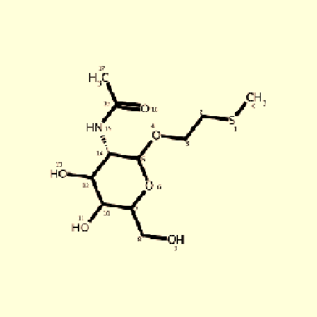 CSCCOC1OC(CO)C(O)C(O)[C@@H]1NC(C)=O